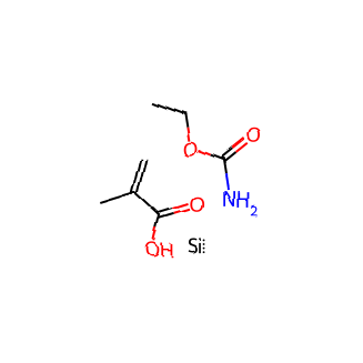 C=C(C)C(=O)O.CCOC(N)=O.[Si]